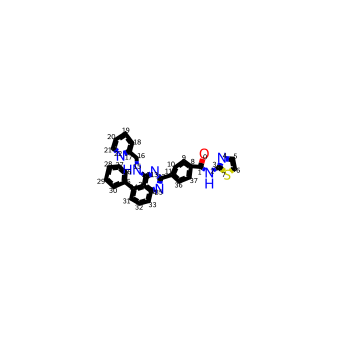 O=C(Nc1nccs1)c1ccc(-c2nc(NCc3ccccn3)c3c(-c4ccccc4)cccc3n2)cc1